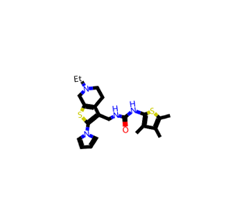 CCN1CCc2c(sc(-n3cccc3)c2CNC(=O)Nc2sc(C)c(C)c2C)C1